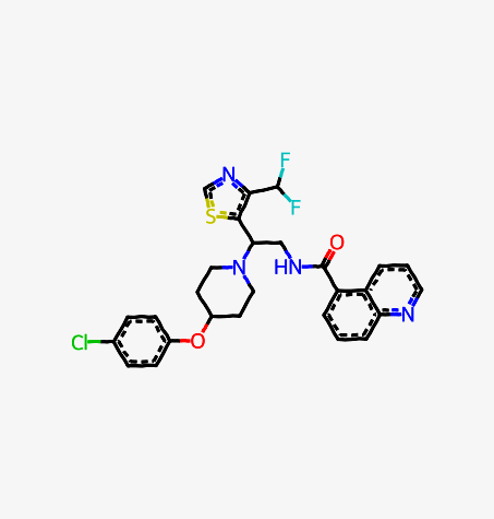 O=C(NCC(c1scnc1C(F)F)N1CCC(Oc2ccc(Cl)cc2)CC1)c1cccc2ncccc12